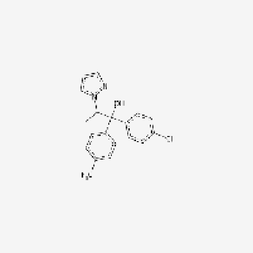 CC(n1cccn1)C(O)(c1ccc(Cl)cc1)c1ccc(C(F)(F)F)cc1